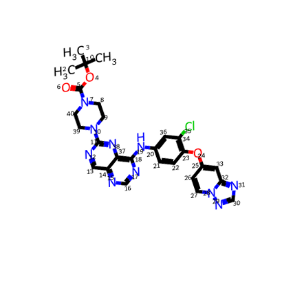 CC(C)(C)OC(=O)N1CCN(c2ncc3ncnc(Nc4ccc(Oc5ccn6ncnc6c5)c(Cl)c4)c3n2)CC1